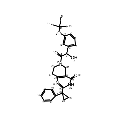 O=C(C(O)c1cccc(OC(F)(F)F)c1)N1CCc2nc(C3(c4ccccc4)CC3)[nH]c(=O)c2C1